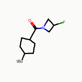 CC(C)(C)C1CCC(C(=O)N2CC(F)C2)CC1